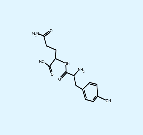 NC(=O)CCC(NC(=O)C(N)Cc1ccc(O)cc1)C(=O)O